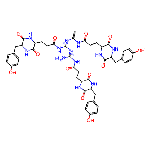 C=C(/N=C(\N=C(/N)NC(=O)CCC1NC(=O)C(Cc2ccc(O)cc2)NC1=O)NC(=O)CCC1NC(=O)C(Cc2ccc(O)cc2)NC1=O)NC(=O)CCC1NC(=O)C(Cc2ccc(O)cc2)NC1=O